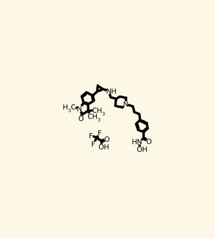 CN1C(=O)C(C)(C)c2cc(C3CC3NCC3CCN(CCCc4ccc(C(=O)NO)cc4)CC3)ccc21.O=C(O)C(F)(F)F